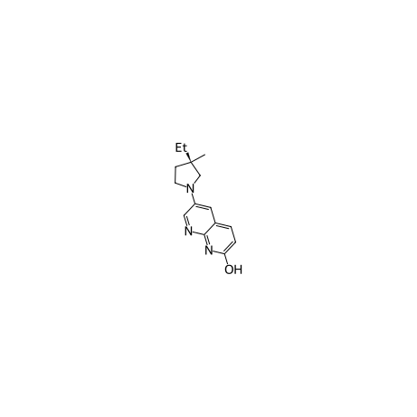 CC[C@]1(C)CCN(c2cnc3nc(O)ccc3c2)C1